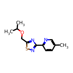 Cc1ccc(-c2nsc(COC(C)C)n2)nc1